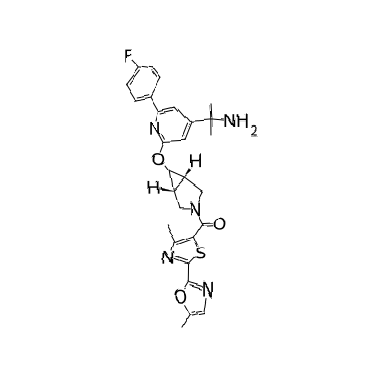 Cc1cnc(-c2nc(C)c(C(=O)N3C[C@@H]4C(Oc5cc(C(C)(C)N)cc(-c6ccc(F)cc6)n5)[C@@H]4C3)s2)o1